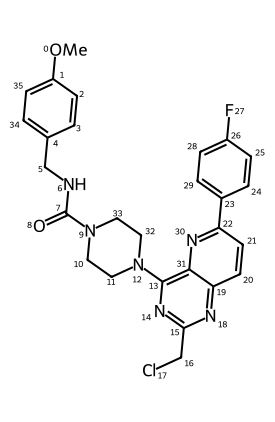 COc1ccc(CNC(=O)N2CCN(c3nc(CCl)nc4ccc(-c5ccc(F)cc5)nc34)CC2)cc1